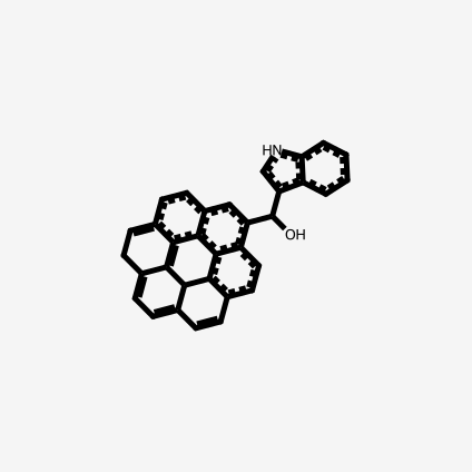 OC(c1c[nH]c2ccccc12)c1cc2ccc3c4c2c2c5c(ccc12)C=CC1=CC=C(CC=3)C=4C15